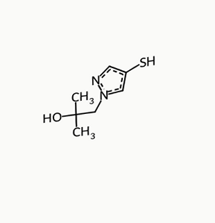 CC(C)(O)Cn1cc(S)cn1